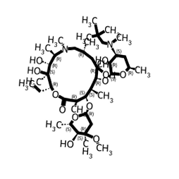 CC[C@H]1OC(=O)[C@H](C)[C@@H](O[C@H]2C[C@@](C)(OC)[C@@H](O)[C@H](C)O2)[C@H](C)[C@@H](O[C@@H]2O[C@H](C)C[C@H](N(C)CC(C)(C)C)[C@H]2O)[C@](C)(O)C[C@@H](C)CN(C)[C@H](C)[C@@H](O)[C@]1(C)O